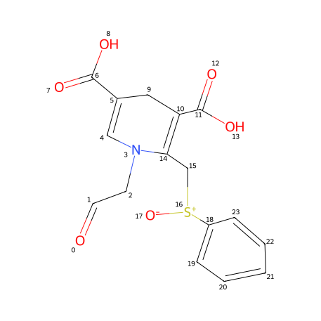 O=CCN1C=C(C(=O)O)CC(C(=O)O)=C1C[S+]([O-])c1ccccc1